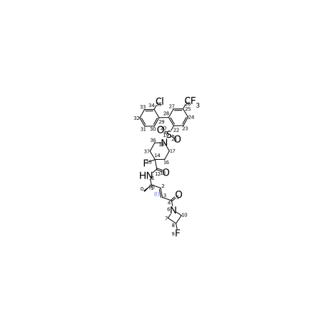 C[C@H](/C=C/C(=O)N1CC(F)C1)NC(=O)C1(F)CCN(S(=O)(=O)c2ccc(C(F)(F)F)cc2-c2ccccc2Cl)CC1